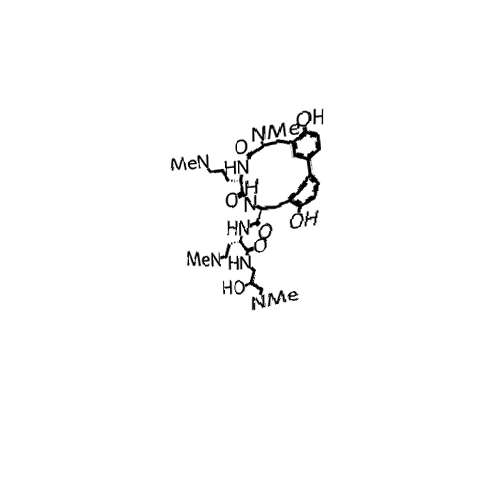 CNCCC[C@@H]1NC(=O)[C@@H](NC)Cc2cc(ccc2O)-c2ccc(O)c(c2)C[C@@H](C(=O)N[C@@H](CCNC)C(=O)NCC(O)CNC)NC1=O